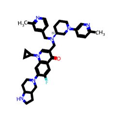 Cc1ccc(N2CCC[C@H](N(Cc3ccnc(C)c3)Cc3cn(C4CC4)c4cc(N5CCC6NCCC6C5)c(F)cc4c3=O)C2)cn1